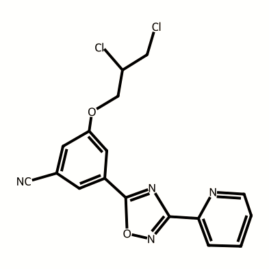 N#Cc1cc(OCC(Cl)CCl)cc(-c2nc(-c3ccccn3)no2)c1